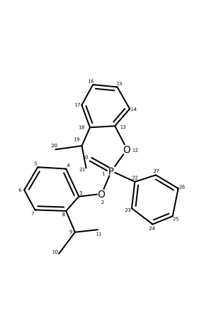 C=P(Oc1ccccc1C(C)C)(Oc1ccccc1C(C)C)c1ccccc1